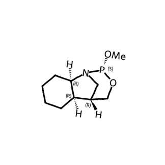 CO[P@]1OC[C@H]2CN1[C@@H]1CCCC[C@H]21